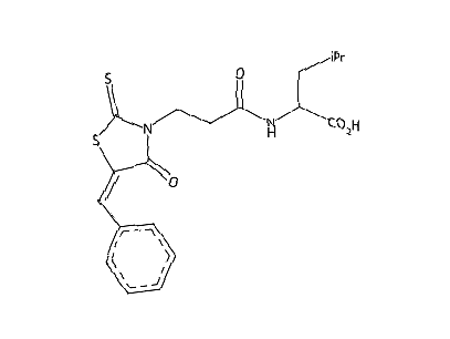 CC(C)CC(NC(=O)CCN1C(=O)/C(=C\c2ccccc2)SC1=S)C(=O)O